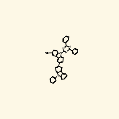 N#Cc1ccc2c(c1)c1cc(-c3ccc4c(c3)c3ccccc3n4-c3ccccc3)ccc1n2-c1nc(-c2ccccc2)nc(-c2ccccc2)n1